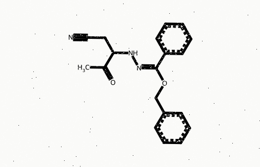 CC(=O)C(CC#N)NN=C(OCc1ccccc1)c1ccccc1